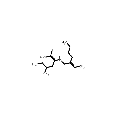 C/C=C(\CCCC)CN/C(CC(C)CC)=C(/C)I